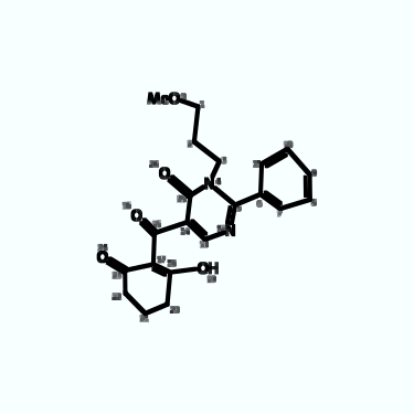 COCCCn1c(-c2ccccc2)ncc(C(=O)C2=C(O)CCCC2=O)c1=O